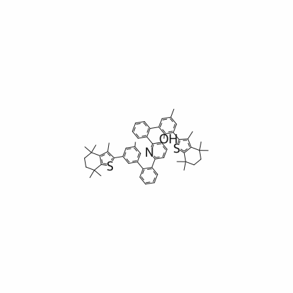 Cc1cc(-c2ccccc2-c2cccc(-c3ccccc3-c3cc(C)cc(-c4sc5c(c4C)C(C)(C)CCC5(C)C)c3O)n2)cc(-c2sc3c(c2C)C(C)(C)CCC3(C)C)c1